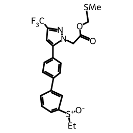 CC[S+]([O-])c1cccc(-c2ccc(-c3cc(C(F)(F)F)nn3CC(=O)OCSC)cc2)c1